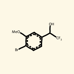 COc1cc(C(O)C(F)(F)F)ccc1Br